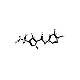 CC(C)NS(=O)(=O)c1cn(C)c(C(=O)Nc2ccc(F)c(Br)c2)c1F